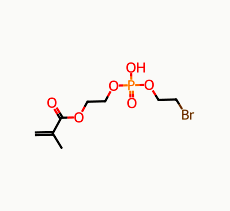 C=C(C)C(=O)OCCOP(=O)(O)OCCBr